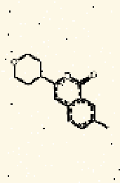 Cc1ccc2cc(C3CCOCC3)oc(=O)c2c1